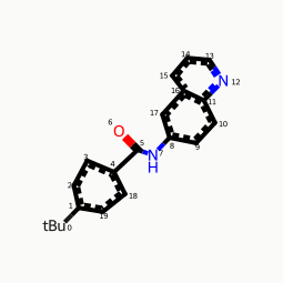 CC(C)(C)c1ccc(C(=O)Nc2ccc3ncccc3c2)cc1